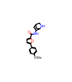 COc1ccc(-c2ccc(C(=O)NC3CC4CNC3C4)o2)cc1